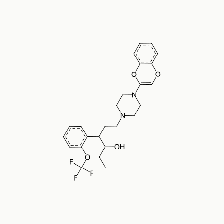 CCC(O)C(CCN1CCN(C2=COc3ccccc3O2)CC1)c1ccccc1OC(F)(F)F